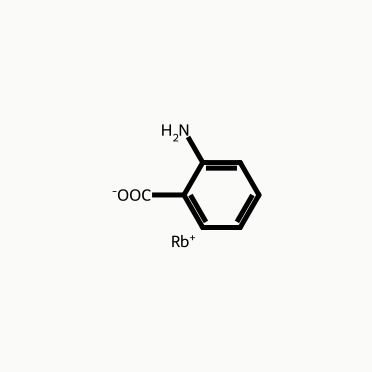 Nc1ccccc1C(=O)[O-].[Rb+]